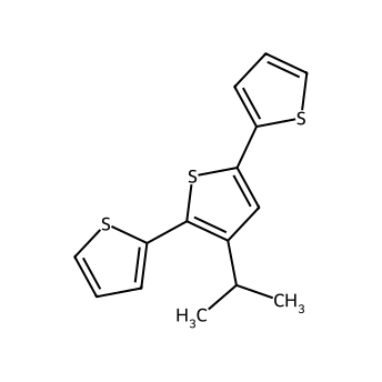 CC(C)c1cc(-c2cccs2)sc1-c1cccs1